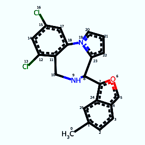 Cc1ccc2coc(C3NCc4c(Cl)cc(Cl)cc4-n4cccc43)c2c1